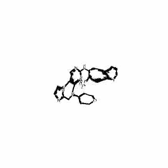 Cc1cc2ncccc2cc1Nc1ncc2c(n1)N(C1CCOCC1)Cc1nccn1-2